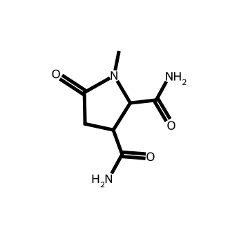 CN1C(=O)C[C](C(N)=O)C1C(N)=O